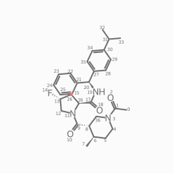 CC(=O)N1CC[C@@H](C)[C@H](C(=O)N2C[C@H](F)C[C@H]2C(=O)N[C@@H](c2ccccc2)c2ccc(C(C)C)cc2)C1